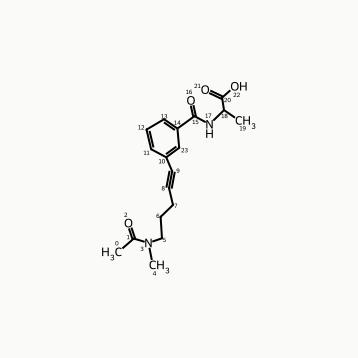 CC(=O)N(C)CCCC#Cc1cccc(C(=O)NC(C)C(=O)O)c1